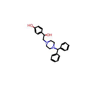 Oc1ccc(C(O)CN2CCN(C(c3ccccc3)c3ccccc3)CC2)cc1